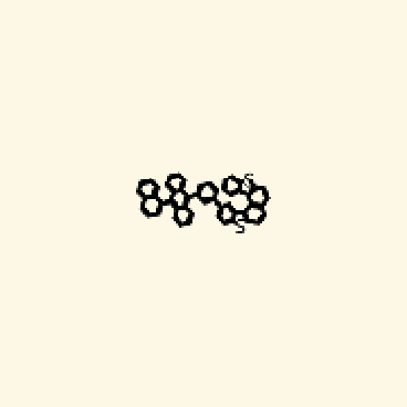 c1cc(-c2ccc3sc4ccc5ccc6sc7ccccc7c6c5c4c3c2)cc(-c2c3ccccc3c(-c3cccc4ccccc34)c3ccccc23)c1